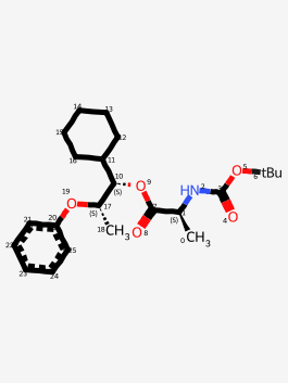 C[C@H](NC(=O)OC(C)(C)C)C(=O)O[C@@H](C1CCCCC1)[C@H](C)Oc1ccccc1